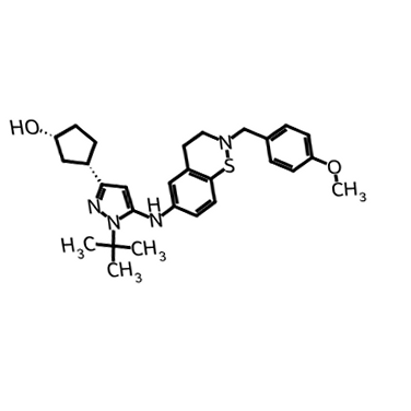 COc1ccc(CN2CCc3cc(Nc4cc([C@H]5CC[C@@H](O)C5)nn4C(C)(C)C)ccc3S2)cc1